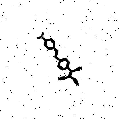 CN(C)c1ccc(C=Cc2ccc(C(C#N)=C(C#N)C#N)cc2)cc1